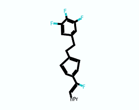 CCCC=C(F)c1ccc(CCc2cc(F)c(F)c(F)c2)cc1